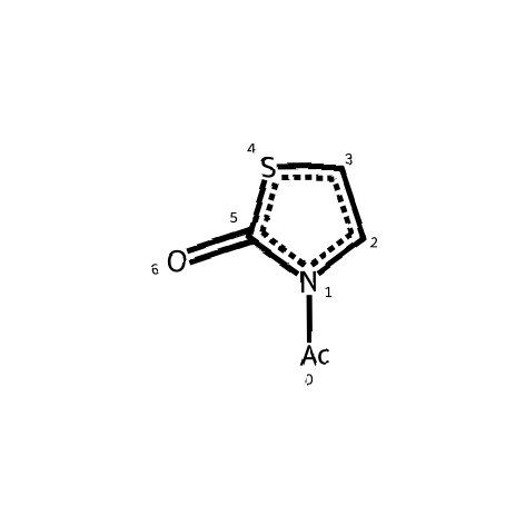 CC(=O)n1ccsc1=O